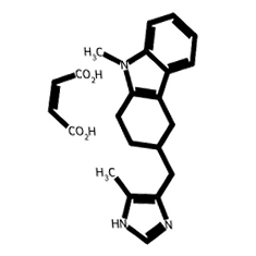 Cc1[nH]cnc1CC1CCc2c(c3ccccc3n2C)C1.O=C(O)/C=C\C(=O)O